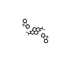 Cc1c(C)n(-c2ccc3c(c2)C(C)(C)c2ccccc2-3)c2c1cc1ccc3c4c(ccc2c14)cc1c(C)c(C)n(-c2ccc4c(c2)C(C)(C)c2ccccc2-4)c13